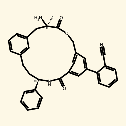 C[C@@]1(N)Cc2cccc(c2)CC[C@H](c2ccccc2)NC(=O)c2cc(cc(-c3ccccc3C#N)c2)COC1=O